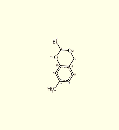 CCC1OCc2ccc(C)cc2O1